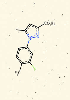 CCOC(=O)c1cc(C)n(-c2ccc(C(F)(F)F)c(F)c2)n1